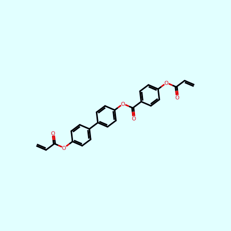 C=CC(=O)Oc1ccc(C(=O)Oc2ccc(-c3ccc(OC(=O)C=C)cc3)cc2)cc1